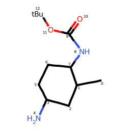 CC1CC(N)CCC1NC(=O)OC(C)(C)C